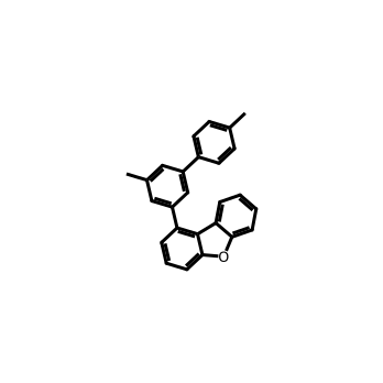 Cc1ccc(-c2cc(C)cc(-c3cccc4oc5ccccc5c34)c2)cc1